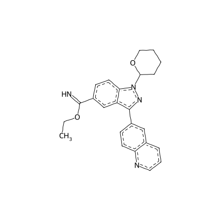 CCOC(=N)c1ccc2c(c1)c(-c1ccc3ncccc3c1)nn2C1CCCCO1